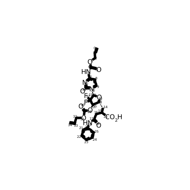 C=CCOC(=O)Nc1ccn([C@@H]2O[C@H](CC(CC(=O)Nc3ccccc3)C(=O)O)[C@@H](OC(=O)OCC=C)C2(F)F)c(=O)n1